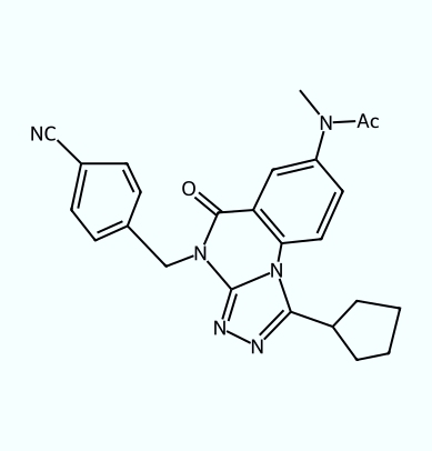 CC(=O)N(C)c1ccc2c(c1)c(=O)n(Cc1ccc(C#N)cc1)c1nnc(C3CCCC3)n21